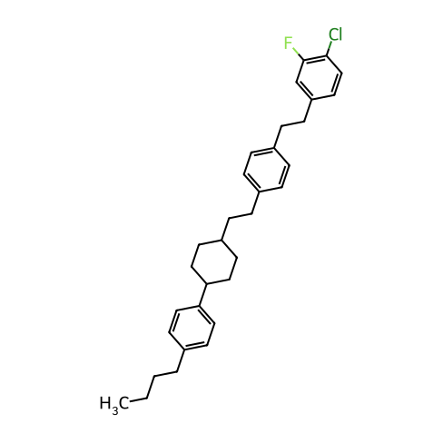 CCCCc1ccc(C2CCC(CCc3ccc(CCc4ccc(Cl)c(F)c4)cc3)CC2)cc1